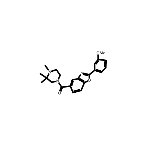 COc1cccc(-c2nc3cc(C(=O)N4CCN(C)C(C)(C)C4)ccc3o2)c1